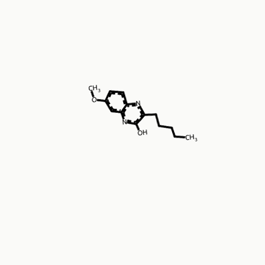 CCCCCc1nc2ccc(OC)cc2nc1O